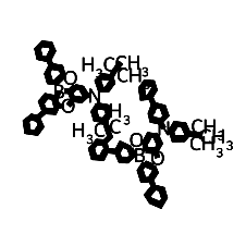 CC(C)(C)c1ccc(N(c2ccc(C(C)(C)Cc3ccccc3-c3ccc4c(c3)Oc3cc(N(c5ccc(-c6ccccc6)cc5)c5ccc(C(C)(C)C)cc5)cc5c3B4c3ccc(-c4ccccc4)cc3O5)cc2)c2cc3c4c(c2)Oc2cc(-c5ccccc5)ccc2B4c2ccc(-c4ccccc4)cc2O3)cc1